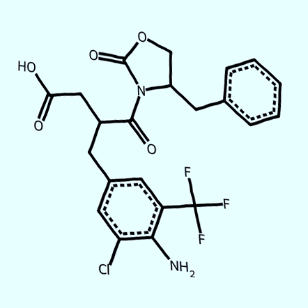 Nc1c(Cl)cc(CC(CC(=O)O)C(=O)N2C(=O)OCC2Cc2ccccc2)cc1C(F)(F)F